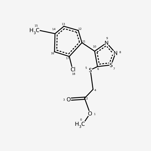 COC(=O)CSc1snnc1-c1ccc(C)cc1Cl